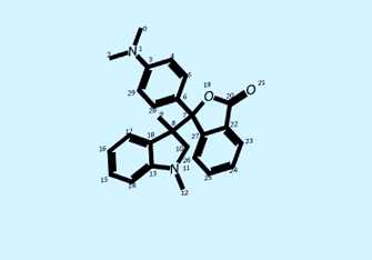 CN(C)c1ccc(C2(C3(C)CN(C)c4ccccc43)OC(=O)c3ccccc32)cc1